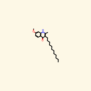 CCCCCCCCCCCCc1c(C)[nH]c2cc(OC)ccc2c1=O